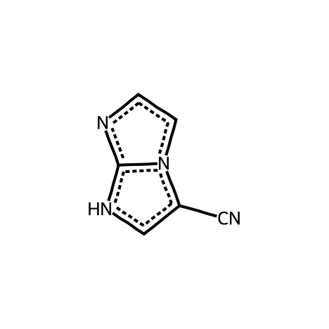 N#Cc1c[nH]c2nccn12